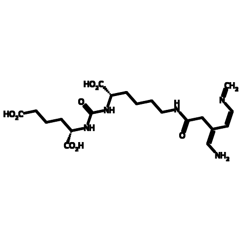 C=N/C=C\C(=C/N)CC(=O)NCCCC[C@H](NC(=O)N[C@@H](CCCC(=O)O)C(=O)O)C(=O)O